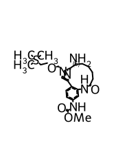 COC(=O)Nc1ccc2c(c1)NC(=O)CCCC[C@H](N)c1nc-2cn1COCCS(C)(C)C